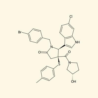 Cc1ccc(S[C@@]2(C(=O)N3CC[C@H](O)C3)CC(=O)N(Cc3ccc(Br)cc3)[C@H]2c2c[nH]c3cc(Cl)ccc23)cc1